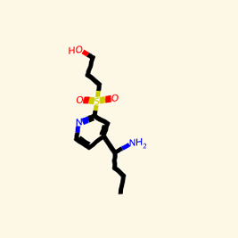 CCCC(N)c1ccnc(S(=O)(=O)CCCO)c1